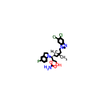 CC(C)(CC[C@H](C(CO)OC(N)=O)N1CCc2cc(F)ccc21)CCn1cnc2cc(Cl)c(Cl)cc21